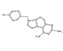 Nc1nc(N)c2c(ccc3c2ccn3Cc2ccc(Cl)cc2)n1